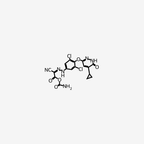 N#CC(=NNc1cc(Cl)c(Oc2cc(C3CC3)c(=O)[nH]n2)c(Cl)c1)C(=O)OC(N)=O